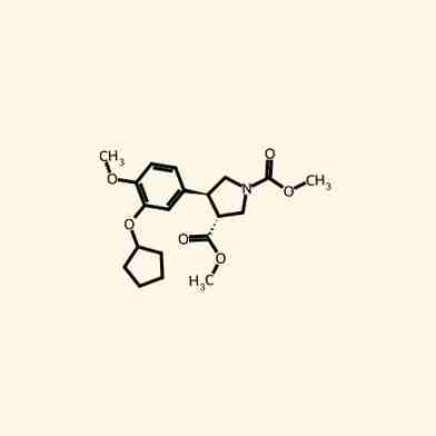 COC(=O)[C@H]1CN(C(=O)OC)C[C@@H]1c1ccc(OC)c(OC2CCCC2)c1